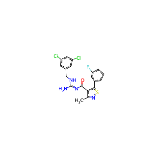 Cc1nsc(-c2cccc(F)c2)c1C(=O)N=C(N)NCc1cc(Cl)cc(Cl)c1